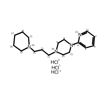 Cl.Cl.Cl.c1ccc(N2CCN(CCCN3CCCCC3)CC2)nc1